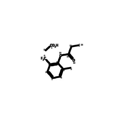 CC(=O)O.Cc1cccc(C(F)(F)F)c1OC(=O)CI